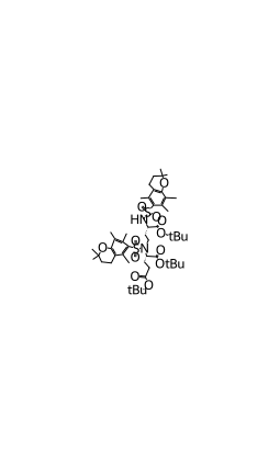 Cc1c(C)c(S(=O)(=O)N[C@@H](CCN([C@@H](CCC(=O)OC(C)(C)C)C(=O)OC(C)(C)C)S(=O)(=O)c2c(C)c(C)c3c(c2C)CCC(C)(C)O3)C(=O)OC(C)(C)C)c(C)c2c1OC(C)(C)CC2